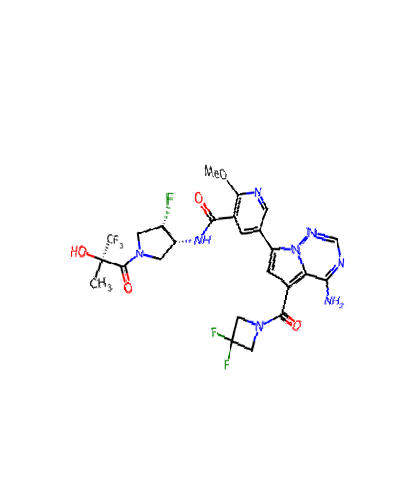 COc1ncc(-c2cc(C(=O)N3CC(F)(F)C3)c3c(N)ncnn23)cc1C(=O)N[C@@H]1CN(C(=O)[C@@](C)(O)C(F)(F)F)C[C@@H]1F